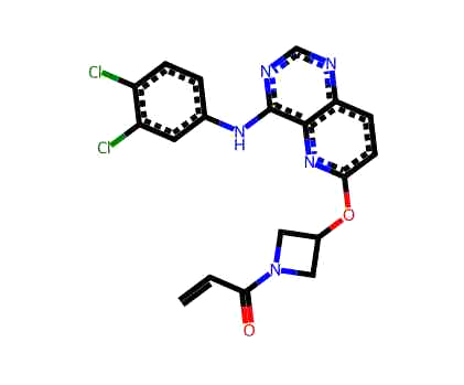 C=CC(=O)N1CC(Oc2ccc3ncnc(Nc4ccc(Cl)c(Cl)c4)c3n2)C1